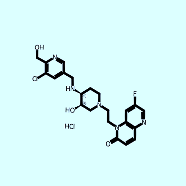 Cl.O=c1ccc2ncc(F)cc2n1CCN1CC[C@H](NCc2cnc(CO)c(Cl)c2)[C@H](O)C1